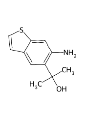 CC(C)(O)c1cc2ccsc2cc1N